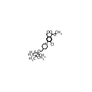 COC(=O)c1cc(Cl)c(N2CCC(CO[Si](C)(C)C(C)(C)C)CC2)cc1C=O